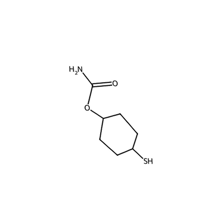 NC(=O)OC1CCC(S)CC1